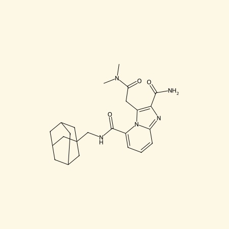 CN(C)C(=O)Cc1c(C(N)=O)nc2cccc(C(=O)NCC34CC5CC(CC(C5)C3)C4)n12